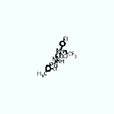 Cc1ccc(OC(=O)c2nc(Cn3nc(-c4ccc(Cl)cc4)n(C[C@H](O)C(F)(F)F)c3=O)n[nH]2)c(Cl)c1